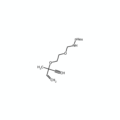 C#CC(C)(C=C)OCCOCNCCCCCC